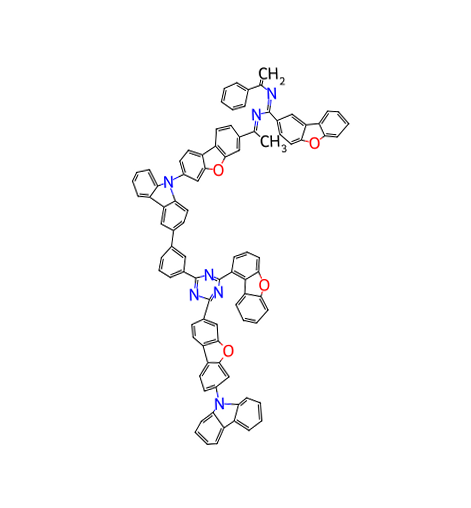 C=C(/N=C(\N=C(/C)c1ccc2c(c1)oc1cc(-n3c4ccccc4c4cc(-c5cccc(-c6nc(-c7ccc8c(c7)oc7cc(-n9c%10ccccc%10c%10ccccc%109)ccc78)nc(-c7cccc8oc9ccccc9c78)n6)c5)ccc43)ccc12)c1ccc2oc3ccccc3c2c1)c1ccccc1